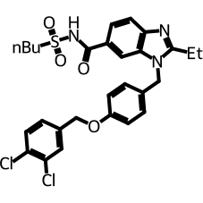 CCCCS(=O)(=O)NC(=O)c1ccc2nc(CC)n(Cc3ccc(OCc4ccc(Cl)c(Cl)c4)cc3)c2c1